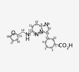 O=C(O)c1cccc(-c2cnc3ccc(NCc4ccco4)nn23)c1